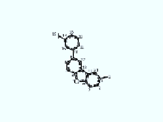 Cc1ccc2oc3ccc(-c4cccc(I)c4)cc3c2c1